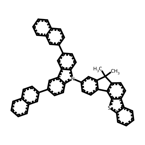 CC1(C)c2cc(-n3c4ccc(-c5ccc6ccccc6c5)cc4c4cc(-c5ccc6ccccc6c5)ccc43)ccc2-c2c1ccc1c2sc2ccccc21